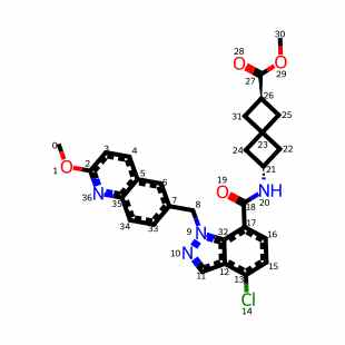 COc1ccc2cc(Cn3ncc4c(Cl)ccc(C(=O)N[C@H]5CC6(C5)C[C@H](C(=O)OC)C6)c43)ccc2n1